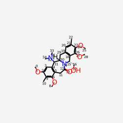 COc1cc2c(c(OC)c1C)CC(=O)N1[C@@H](CO)c3c(cc(C)c(OC)c3OC)C[C@H]1C2N(C)C